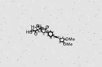 CO[C@H]1C[C@H](C#Cc2ccc(N3C[C@H](C[C@](C)(C(=O)NO)S(C)(=O)=O)OC3=O)cc2)C[C@H]1OC